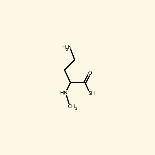 CNC(CCN)C(=O)S